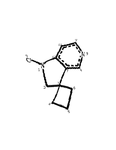 ClN1CC2(CCC2)c2cnccc21